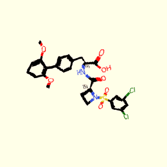 COc1cccc(OC)c1-c1ccc(C[C@H](NC(=O)[C@@H]2CCN2S(=O)(=O)c2cc(Cl)cc(Cl)c2)C(=O)O)cc1